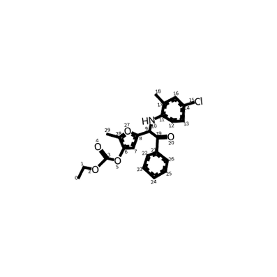 CCOC(=O)Oc1cc(C(Nc2ccc(Cl)cc2C)C(=O)c2ccccc2)oc1C